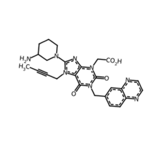 CC#CCn1c(N2CCCC(N)C2)nc2c1c(=O)n(Cc1ccc3nccnc3c1)c(=O)n2CC(=O)O